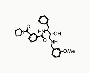 COc1cccc(CNC[C@@H](O)[C@H](Cc2ccccc2)NC(=O)c2cccc(C(=O)N3CCCC3)c2)c1